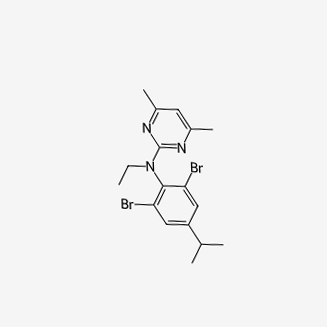 CCN(c1nc(C)cc(C)n1)c1c(Br)cc(C(C)C)cc1Br